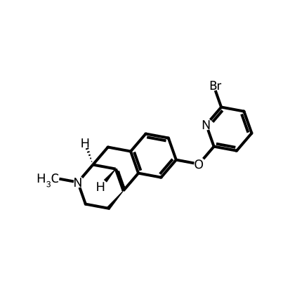 CN1CC[C@]23CCCC[C@H]2[C@@H]1Cc1ccc(Oc2cccc(Br)n2)cc13